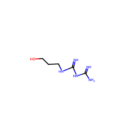 N=C(N)NC(=N)NCCCO